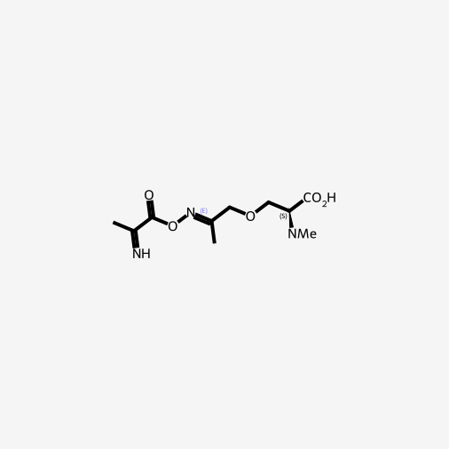 CN[C@@H](COC/C(C)=N/OC(=O)C(C)=N)C(=O)O